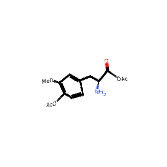 COc1cc(C[C@H](N)C(=O)OC(C)=O)ccc1OC(C)=O